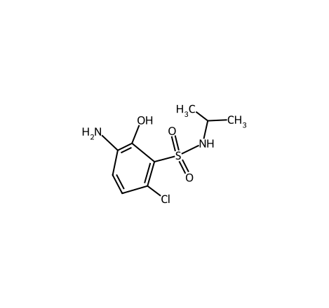 CC(C)NS(=O)(=O)c1c(Cl)ccc(N)c1O